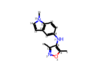 Cc1noc(C)c1Nc1ccc2c(ccn2C)c1